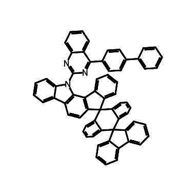 c1ccc(-c2ccc(-c3nc(-n4c5ccccc5c5ccc6c(c54)-c4ccccc4C64c5ccccc5C5(c6ccccc6-c6ccccc65)c5ccccc54)nc4ccccc34)cc2)cc1